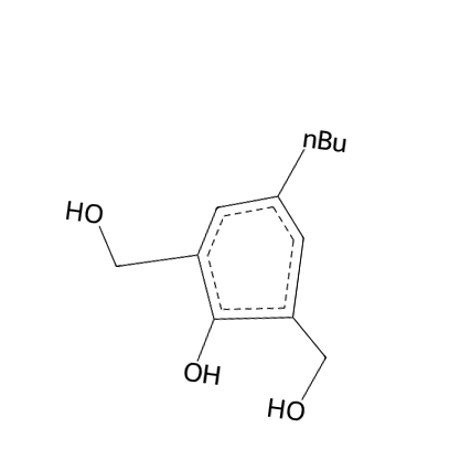 CCCCc1cc(CO)c(O)c(CO)c1